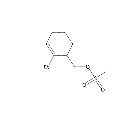 CCC1=CCCCC1COS(C)(=O)=O